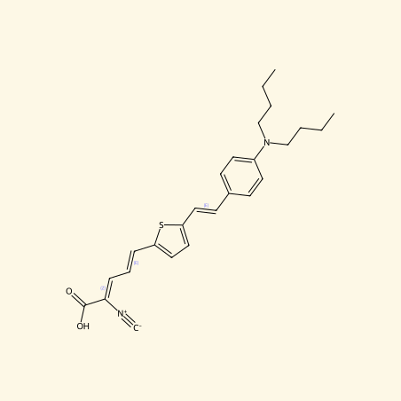 [C-]#[N+]/C(=C\C=C\c1ccc(/C=C/c2ccc(N(CCCC)CCCC)cc2)s1)C(=O)O